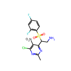 Cc1nc(Cl)c([N+](=O)[O-])c(C(CN)S(=O)(=O)c2ccc(F)cc2F)n1